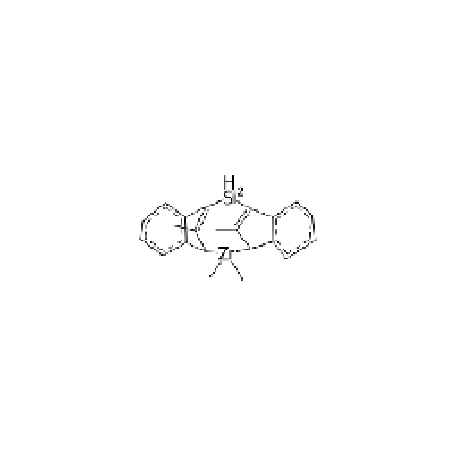 CC1=C2[SiH2]C3=C(C)[CH](c4ccccc43)[Zr]([CH3])([CH3])[CH]1c1ccccc12